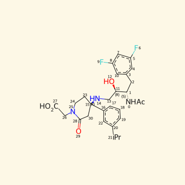 CC(=O)N[C@@H](Cc1cc(F)cc(F)c1)[C@H](O)CN[C@]1(c2cccc(C(C)C)c2)CCN(CC(=O)O)C(=O)C1